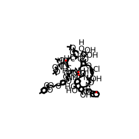 Cc1ccc(S(=O)(=O)OCCOc2ccc(S(=O)(=O)NC(=O)C[C@@H]3CC(=O)[C@H](NC(=O)[C@@H](CC(C)C)N(C)C(=O)OC(C)(C)C)[C@H](O)c4ccc(c(Cl)c4)Oc4cc5cc(c4O[C@@H]4O[C@H](CCC(=O)OC(C)(C)C)[C@@H](O)[C@H](O)[C@H]4O)Oc4ccc(cc4Cl)[C@@H](O)[C@@H]4NC(=O)[C@H](CC(=O)[C@@H]5NC3=O)c3ccc5c(c3)-c3c(cc(O)cc3C5(O)O)[C@@H](C(=O)CC3C5CC6CC(C5)CC3C6)NC4=O)cc2)cc1